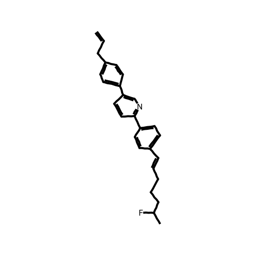 C=CCc1ccc(-c2ccc(-c3ccc(C=CCCCC(C)F)cc3)nc2)cc1